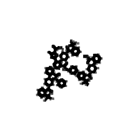 Cc1cc(-c2cnnc(C(=O)Nc3ncccn3)c2N2CCN(C(=O)c3ccccc3C(F)(F)F)CC2)nn1C(N)=O.O=C(Nc1cnccn1)c1nnccc1N1CCN(C(=O)c2ccccc2C(F)(F)F)CC1.O=C(O)c1nnccc1N1CCN(C(=O)c2ccccc2C(F)(F)F)CC1